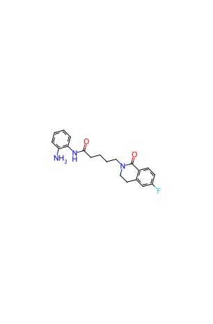 Nc1ccccc1NC(=O)CCCCN1CCc2cc(F)ccc2C1=O